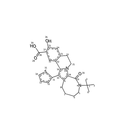 CC(C)(C)N1CCCCc2c(-c3cccs3)c3n(c2C1=O)CCc1cc(O)c(C(=O)O)cc1-3